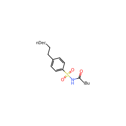 CCCCCCCCCCCCc1ccc(S(=O)(=O)NC(=O)C(C)CC)cc1